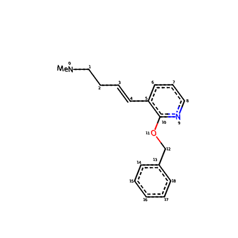 CNCC/C=C/c1cccnc1OCc1ccccc1